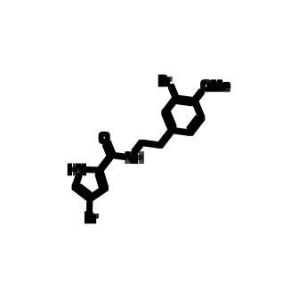 COc1ccc(CCNC(=O)c2cc(Br)c[nH]2)cc1Br